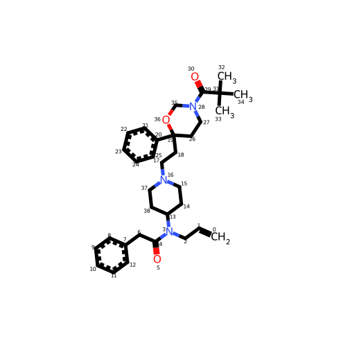 C=CCN(C(=O)Cc1ccccc1)C1CCN(CCC2(c3ccccc3)CCN(C(=O)C(C)(C)C)CO2)CC1